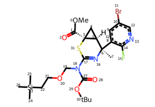 COC(=O)[C@]12C[C@H]1[C@@](C)(c1cc(Br)cnc1F)N=C(N(COCC[Si](C)(C)C)C(=O)OC(C)(C)C)S2